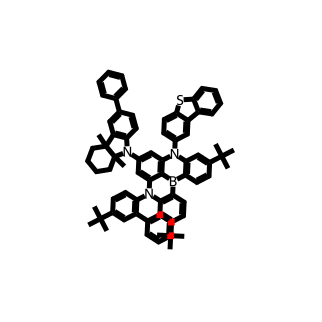 CC(C)(C)c1ccc(N2c3cc(C(C)(C)C)ccc3B3c4ccc(C(C)(C)C)cc4N(c4ccc5sc6ccccc6c5c4)c4cc(N5c6ccc(-c7ccccc7)cc6C6(C)CCCCC56C)cc2c43)c(-c2ccccc2)c1